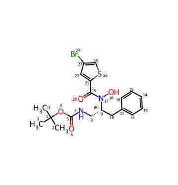 CC(C)(C)OC(=O)NC[C@@H](Cc1ccccc1)N(O)C(=O)c1cc(Br)cs1